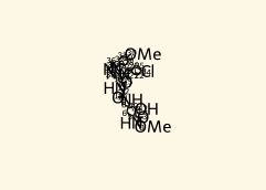 CONC(=O)c1ccc(CNC(=O)CNC(=O)C[C@@H]2N=C(c3ccc(Cl)cc3)c3cc(OC)ccc3-n3c(C)nnc32)cc1O